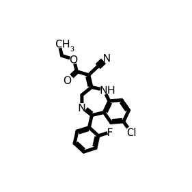 CCOC(=O)C(C#N)=C1CN=C(c2ccccc2F)c2cc(Cl)ccc2N1